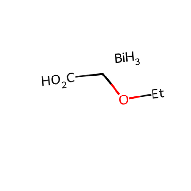 CCOCC(=O)O.[BiH3]